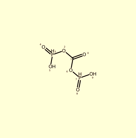 O=C(O[PH](=O)O)O[PH](=O)O